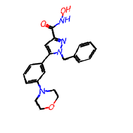 O=C(NO)c1cc(-c2cccc(N3CCOCC3)c2)n(Cc2ccccc2)n1